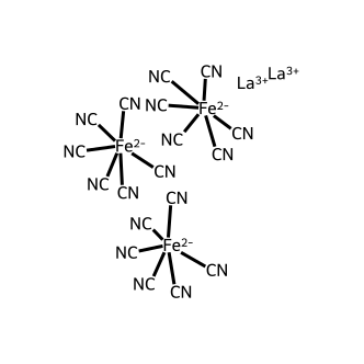 N#[C][Fe-2]([C]#N)([C]#N)([C]#N)([C]#N)[C]#N.N#[C][Fe-2]([C]#N)([C]#N)([C]#N)([C]#N)[C]#N.N#[C][Fe-2]([C]#N)([C]#N)([C]#N)([C]#N)[C]#N.[La+3].[La+3]